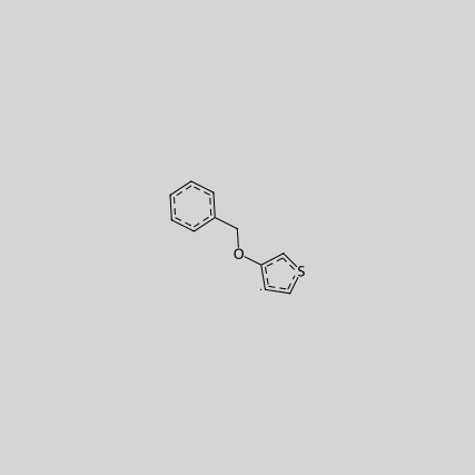 [c]1cscc1OCc1ccccc1